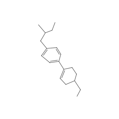 CCC(C)Cc1ccc(C2=CCC(CC)CC2)cc1